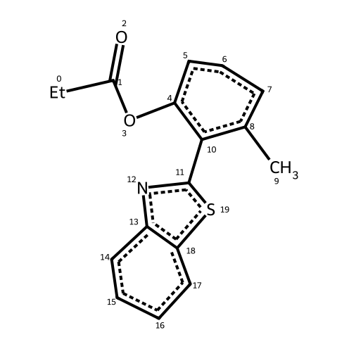 CCC(=O)Oc1cccc(C)c1-c1nc2ccccc2s1